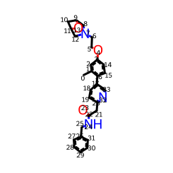 Cc1cc(OCCN2CC3CC(C2)O3)ccc1-c1ccc(CC(=O)NCc2ccccc2)nc1